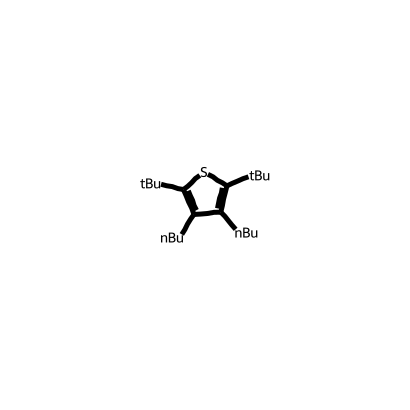 CCCCc1c(C(C)(C)C)sc(C(C)(C)C)c1CCCC